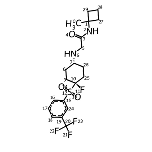 CC1(NC(=O)CN[C@H]2CC[C@@](F)(S(=O)(=O)c3cccc(C(F)(F)F)c3)CC2)CCC1